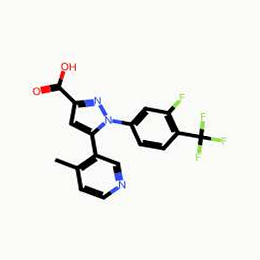 Cc1ccncc1-c1cc(C(=O)O)nn1-c1ccc(C(F)(F)F)c(F)c1